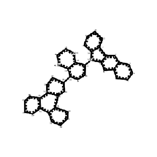 c1ccc2cc3c(cc2c1)c1ccccc1n3-c1ccc(-c2ccc3c4ccccc4c4ccccc4c3c2)c2nccnc12